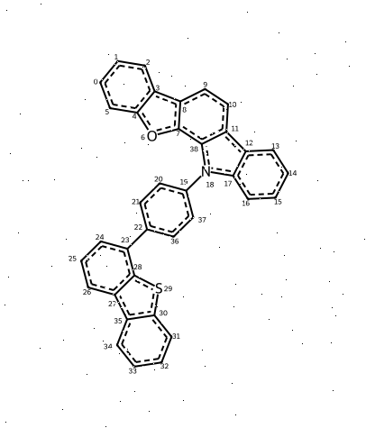 c1ccc2c(c1)oc1c2ccc2c3ccccc3n(-c3ccc(-c4cccc5c4sc4ccccc45)cc3)c21